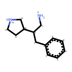 NCC(Cc1ccccc1)C1CCNC1